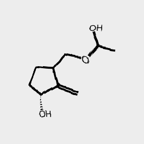 C=C1C(COC(C)O)CC[C@H]1O